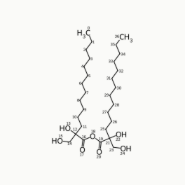 CCCCCCCCCCCCC(O)(CO)C(=O)OC(=O)C(O)(CO)CCCCCCCCCCCC